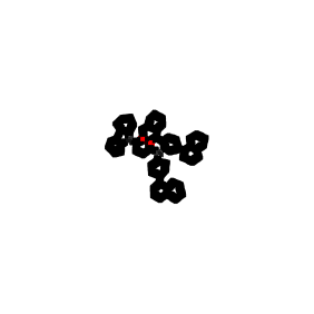 c1ccc2c(-c3ccc(N(c4ccc(-n5c6ccccc6c6ccccc65)cc4)c4cc(-c5cccc6ccccc56)ccc4-c4cccc5ccccc45)cc3)cccc2c1